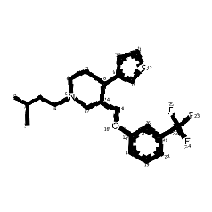 CC(C)CCN1CCC(c2ccsc2)C(COc2cccc(C(F)(F)F)c2)C1